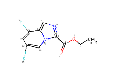 CCOC(=O)c1ncc2c(F)cc(F)cn12